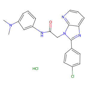 CN(C)c1cccc(NC(=O)Cn2c(-c3ccc(Cl)cc3)nc3cccnc32)c1.Cl